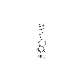 CC(C)(O)COc1ccc2sc(N)nc2c1